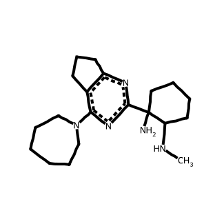 CNC1CCCCC1(N)c1nc2c(c(N3CCCCCC3)n1)CCC2